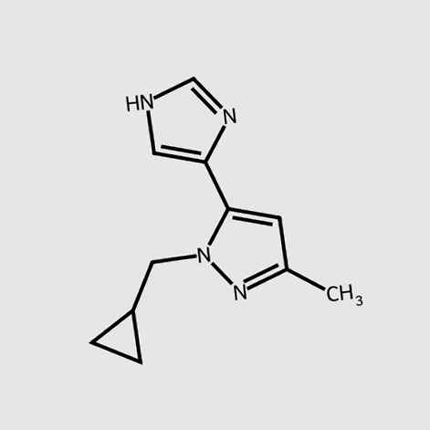 Cc1cc(-c2c[nH]cn2)n(CC2CC2)n1